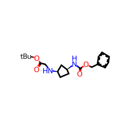 CC(C)(C)OC(=O)CN[C@@H]1CC[C@H](NC(=O)OCc2ccccc2)C1